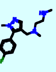 CNCCN(C)Cc1cnn(C)c1-c1ccc(F)cc1